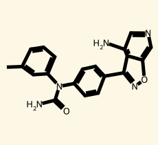 Cc1cccc(N(C(N)=O)c2ccc(-c3noc4cncc(N)c34)cc2)c1